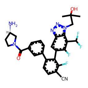 CC(C)(O)Cn1nnc2cc(-c3c(-c4cccc(C(=O)N5CC[C@H](N)C5)c4)ccc(C#N)c3F)c(F)c(C(F)F)c21